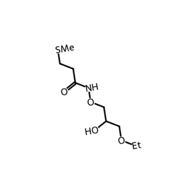 CCOCC(O)CONC(=O)CCSC